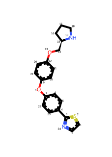 c1csc(-c2ccc(Oc3ccc(OC[C@H]4CCCN4)cc3)cc2)n1